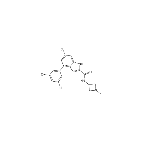 CN1CC(NC(=O)c2cc3c(-c4cc(Cl)cc(Cl)c4)cc(Cl)cc3[nH]2)C1